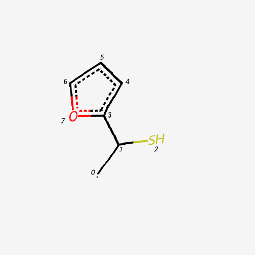 [CH2]C(S)c1ccco1